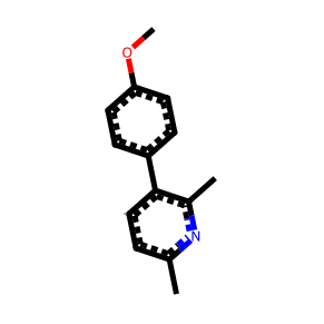 COc1ccc(-c2[c]cc(C)nc2C)cc1